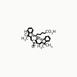 CCN1C(=Cc2c([O-])[c+](C=C3N(CCCCCC(=O)O)c4ccccc4C3(C)C)[c+]2[O-])C(C)(C)c2ccccc21